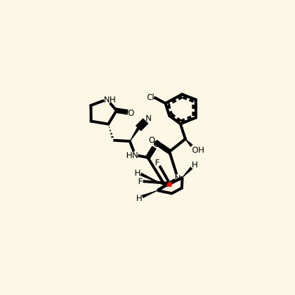 N#C[C@H](C[C@@H]1CCNC1=O)NC(=O)[C@H]1[C@H]2CC[C@H](CC2(F)F)N1C(=O)[C@H](O)c1cccc(Cl)c1